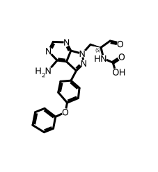 Nc1ncnc2c1c(-c1ccc(Oc3ccccc3)cc1)nn2C[C@@H](C=O)NC(=O)O